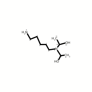 CC(O)N(CCCCCN)C(C)O